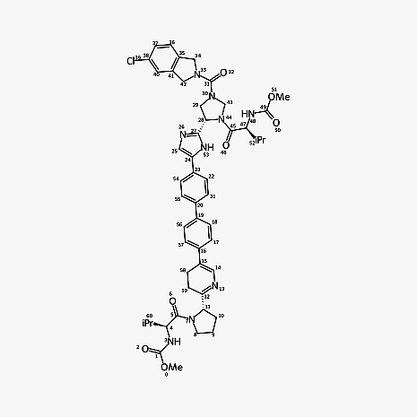 COC(=O)N[C@H](C(=O)N1CCC[C@H]1C1=NC=C(c2ccc(-c3ccc(-c4cnc([C@@H]5CN(C(=O)N6Cc7ccc(Cl)cc7C6)CN5C(=O)[C@@H](NC(=O)OC)C(C)C)[nH]4)cc3)cc2)CC1)C(C)C